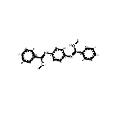 CO/C(=N\c1ccc(/N=C(\OC)c2ccccc2)cc1)c1ccccc1